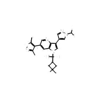 [2H]C([2H])(C1CC(C)(F)C1)n1cc(-c2cnn(C(F)F)c2)c2ncc(-c3c(C)noc3C)cc21